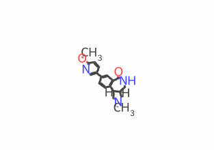 COc1ccc(-c2ccc3c(c2)C(=O)NC[C@H]2CN(C)C[C@H]32)cn1